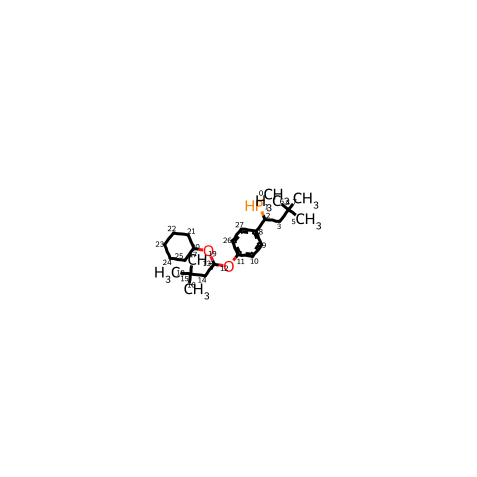 CPC(CC(C)(C)C)c1ccc(OC(CC(C)(C)C)OC2CCCCC2)cc1